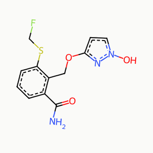 NC(=O)c1cccc(SCF)c1COc1ccn(O)n1